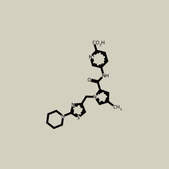 Cc1cc(C(=O)Nc2ccc(C(=O)O)nc2)n(Cc2csc(N3CCCCC3)n2)c1